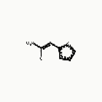 O=[N+]([O-])/C(Cl)=C/c1cccs1